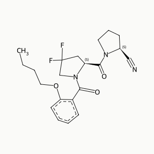 CCCCOc1ccccc1C(=O)N1CC(F)(F)C[C@H]1C(=O)N1CCC[C@H]1C#N